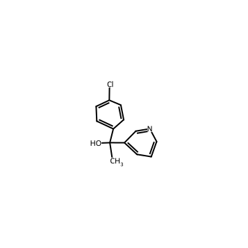 CC(O)(c1ccc(Cl)cc1)c1cccnc1